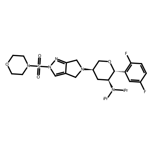 CC(C)N(C(C)C)[C@H]1C[C@@H](N2Cc3cn(S(=O)(=O)N4CCOCC4)nc3C2)CO[C@@H]1c1cc(F)ccc1F